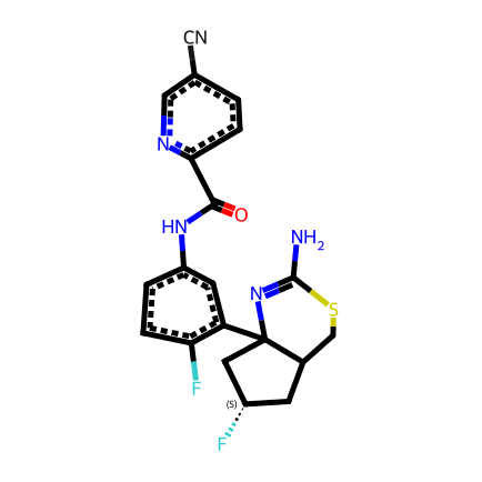 N#Cc1ccc(C(=O)Nc2ccc(F)c(C34C[C@@H](F)CC3CSC(N)=N4)c2)nc1